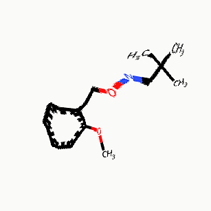 COc1ccccc1CON=CC(C)(C)C